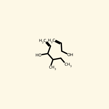 C=CC(O)C(C)CC.C=CCO